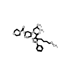 COCCCCc1c(C(=O)N(CC(C)C)[C@@H]2CNC[C@H](C(=O)N3CCOCC3)C2)nnn1-c1ccccc1